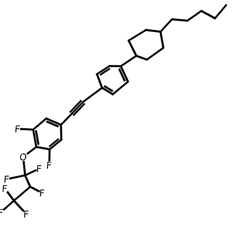 CCCCCC1CCC(c2ccc(C#Cc3cc(F)c(OC(F)(F)C(F)C(F)(F)F)c(F)c3)cc2)CC1